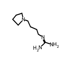 NC(N)=NCCCCN1CCCC1